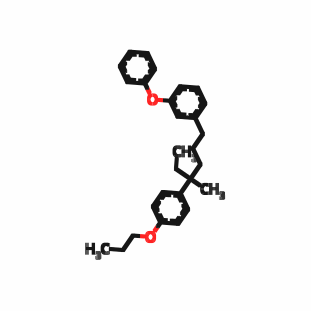 CCCOc1ccc(C(C)(CC)CCCc2cccc(Oc3ccccc3)c2)cc1